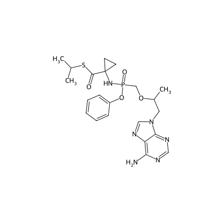 CC(Cn1cnc2c(N)ncnc21)OCP(=O)(NC1(C(=O)SC(C)C)CC1)Oc1ccccc1